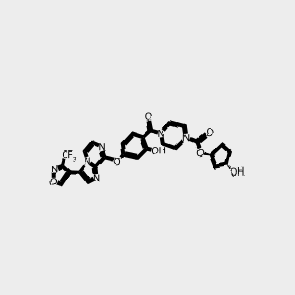 O=C(O[C@H]1CC[C@H](O)C1)N1CCN(C(=O)c2ccc(Oc3nccn4c(-c5conc5C(F)(F)F)cnc34)cc2O)CC1